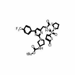 CC(C)(C)OC(=O)NC1CCN(c2nc(CNC(=O)[C@@H]3CCCN3S(=O)(=O)c3ccc(Cl)s3)cc(-c3ccc(C(F)(F)F)cc3)n2)C1